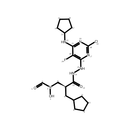 O=CN(O)C[C@H](CC1CCCC1)C(=O)NNc1nc(Cl)nc(NC2CCCC2)c1F